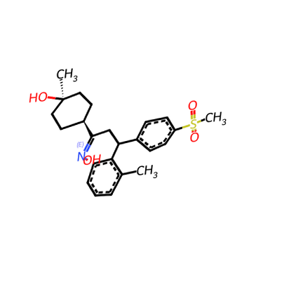 Cc1ccccc1C(C/C(=N\O)[C@H]1CC[C@@](C)(O)CC1)c1ccc(S(C)(=O)=O)cc1